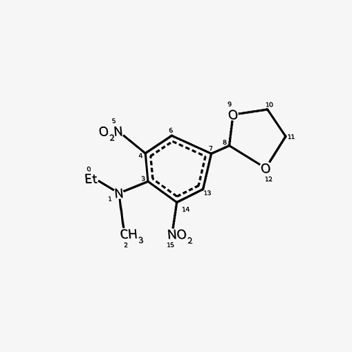 CCN(C)c1c([N+](=O)[O-])cc(C2OCCO2)cc1[N+](=O)[O-]